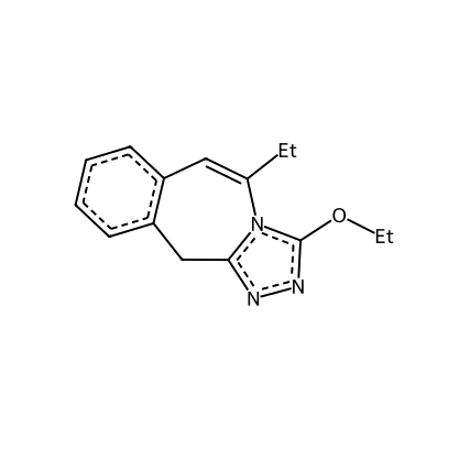 CCOc1nnc2n1C(CC)=Cc1ccccc1C2